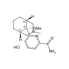 CO[C@@]1(c2cccc(C(N)=O)n2)[C@@H]2CCC[C@H]1CN(C)C2.Cl